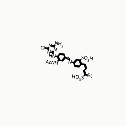 CC/C(=C\C=C/c1ccc(N=Nc2ccc(Nc3nc(N)nc(Cl)n3)c(NC(C)=O)c2)cc1S(=O)(=O)O)S(=O)(=O)O